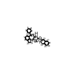 O=C(N[C@@H]1N=C(c2ccccc2)c2cccc3c2N(CC3)C1=O)Oc1cc2ccccc2cn1